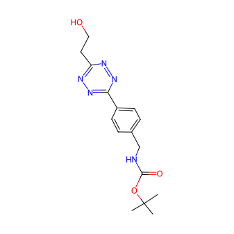 CC(C)(C)OC(=O)NCc1ccc(-c2nnc(CCO)nn2)cc1